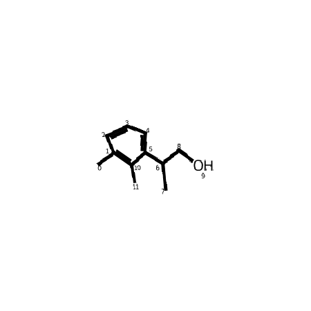 Cc1cccc(C(C)CO)c1C